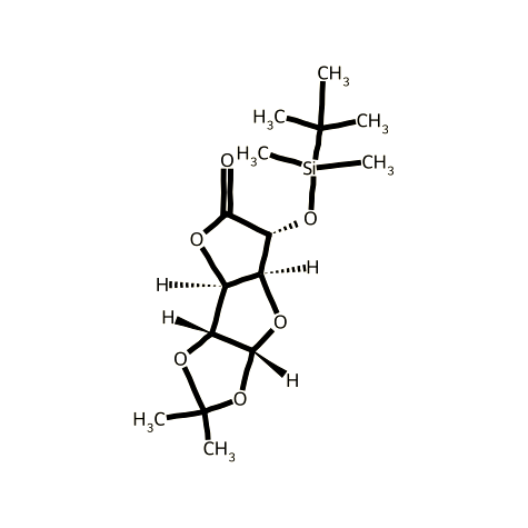 CC1(C)O[C@H]2O[C@H]3[C@H](OC(=O)[C@@H]3O[Si](C)(C)C(C)(C)C)[C@H]2O1